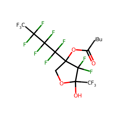 CCC(C)C(=O)OC1(C(F)(F)C(F)(F)C(F)(F)C(F)(F)F)COC(O)(C(F)(F)F)C1(F)F